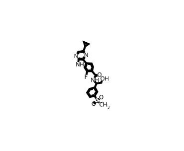 CS(=O)(=O)c1cccc(C(CO)NC(=O)c2ccc(-c3nc(C4CC4)cnc3N)cc2F)c1